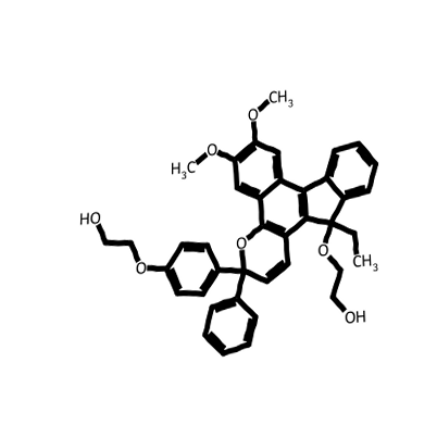 CCC1(OCCO)c2ccccc2-c2c1c1c(c3cc(OC)c(OC)cc23)OC(c2ccccc2)(c2ccc(OCCO)cc2)C=C1